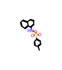 Cc1ccc(S(=O)(=O)ONc2cccc3ccccc23)cc1